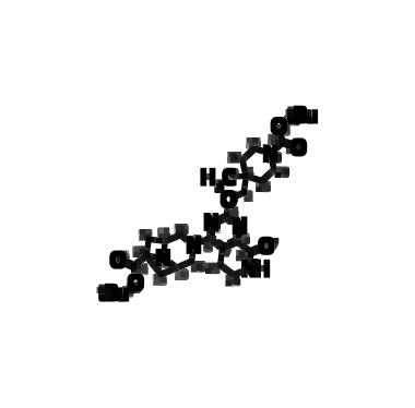 CC1(COc2nc3c(c(N4CC5CC6(C(=O)OC(C)(C)C)CC(C4)N56)n2)CCNC3=O)CCN(C(=O)OC(C)(C)C)CC1